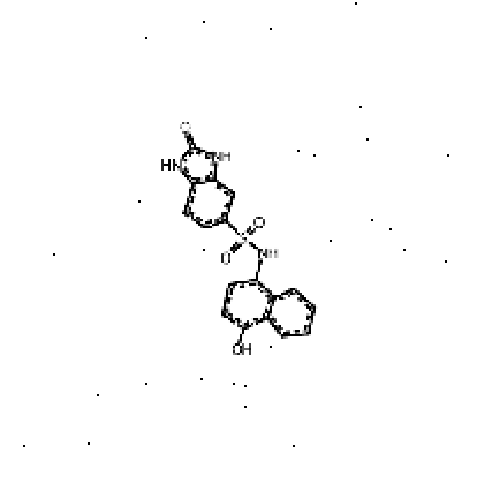 O=c1[nH]c2ccc(S(=O)(=O)Nc3ccc(O)c4ccccc34)cc2[nH]1